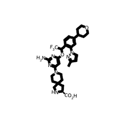 Cc1ccn(-c2cc(C3CCOCC3)ccc2C(Oc2cc(N3CCC4(CC3)CN[C@H](C(=O)O)C4)nc(N)n2)C(F)(F)F)n1